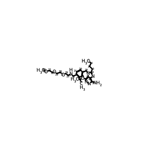 CCCCc1nc2c(N)nnc(OC(C)C)c2n1Cc1ccc(CNCCOCCOCCOC)cc1